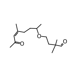 CC(=O)/C=C(/C)CCC(C)OCCC(C)(C)C=O